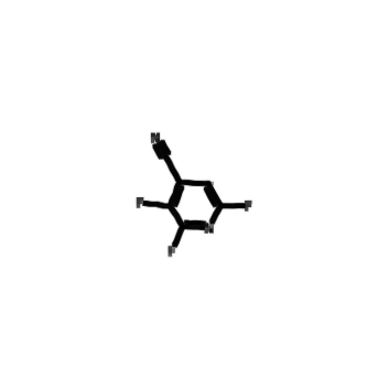 N#Cc1[c]c(F)nc(F)c1F